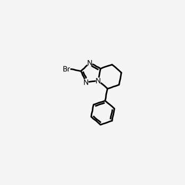 Brc1nc2n(n1)C(c1ccccc1)CCC2